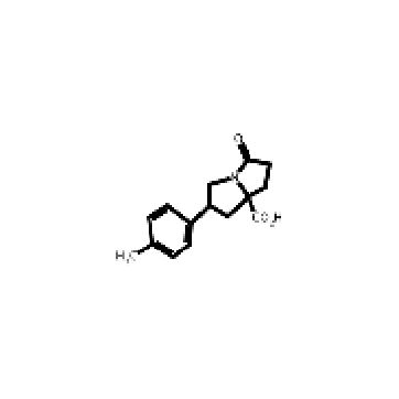 Cc1ccc(C2CN3C(=O)CCC3(C(=O)O)C2)cc1